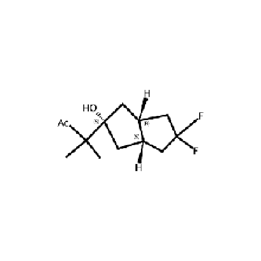 CC(=O)C(C)(C)[C@]1(O)C[C@H]2CC(F)(F)C[C@H]2C1